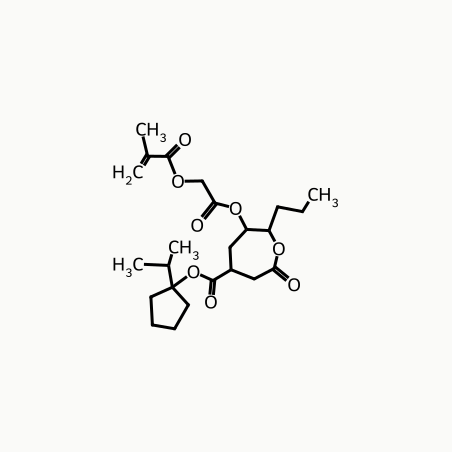 C=C(C)C(=O)OCC(=O)OC1CC(C(=O)OC2(C(C)C)CCCC2)CC(=O)OC1CCC